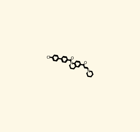 O=C(C=CN1CCCCC1)c1ccc2c(c1)CCCN2C(=O)c1ccc(-c2ccc(Cl)cc2)cc1